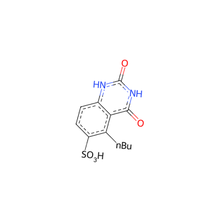 CCCCc1c(S(=O)(=O)O)ccc2[nH]c(=O)[nH]c(=O)c12